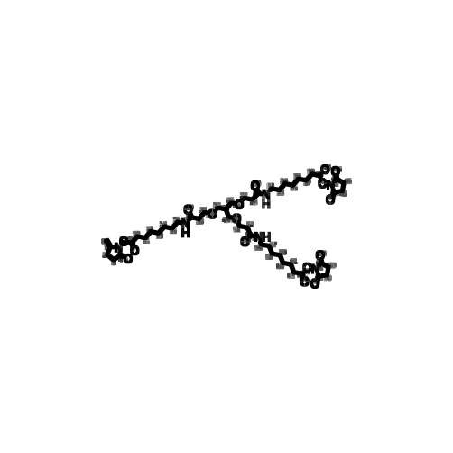 C=C1CCC(=O)N1OC(=O)CCCCCCCNC(=O)CCOCC(COCCC(=O)NCCCCCCCC(=O)ON1C(=O)CCC1=O)COCCC(=O)NCCCCCCCC(=O)ON1C(=O)CCC1=O